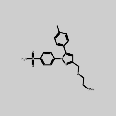 COCCOCc1cc(-c2ccc(C)cc2)n(-c2ccc(S(N)(=O)=O)cc2)n1